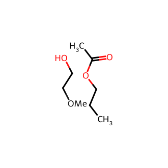 CCCOC(C)=O.COCCO